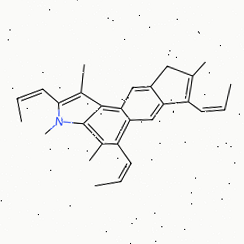 C/C=C\C1=C(C)Cc2cc3c(cc21)c(/C=C\C)c(C)c1c3c(C)c(/C=C\C)n1C